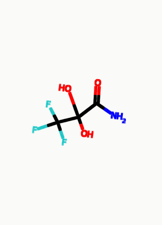 NC(=O)C(O)(O)C(F)(F)F